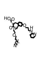 [N-]=[N+]=NCCOCCN1Cc2cc(OCCCNc3ccccn3)ccc2C[C@@H](CC(=O)O)C1=O